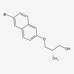 C[C@@H](CO)COc1ccc2cc(Br)ccc2c1